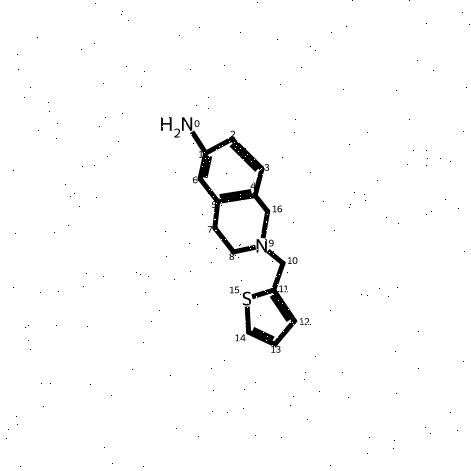 Nc1ccc2c(c1)CCN(Cc1cccs1)C2